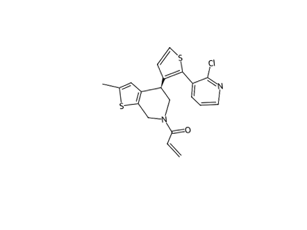 C=CC(=O)N1Cc2sc(C)cc2[C@@H](c2ccsc2-c2cccnc2Cl)C1